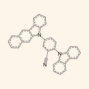 N#Cc1cc(-n2c3ccccc3c3cc4ccccc4cc32)ccc1-n1c2ccccc2c2ccccc21